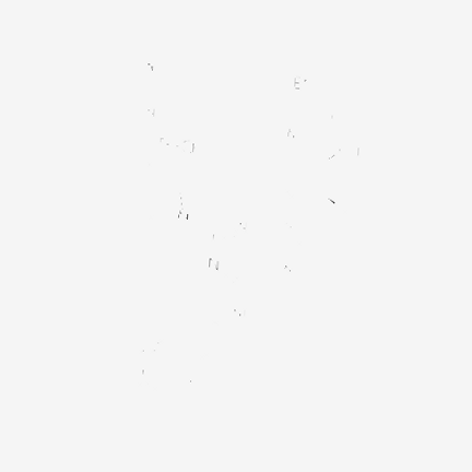 CCC(=O)N[C@H]1C[C@@H](n2cnc3c(NCC(c4ccccc4)c4ccccc4)nc(N4CCC(NC(=O)n5ccnc5)C4)nc32)[C@H](O)[C@@H]1O